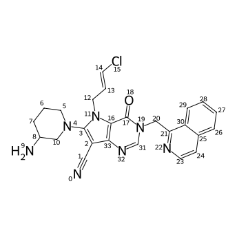 N#Cc1c(N2CCCC(N)C2)n(CC=CCl)c2c(=O)n(Cc3nccc4ccccc34)cnc12